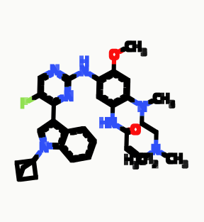 C=CC(=O)Nc1cc(Nc2ncc(F)c(-c3cn(C45CC(C4)C5)c4ccccc34)n2)c(OC)cc1N(C)CCN(C)C